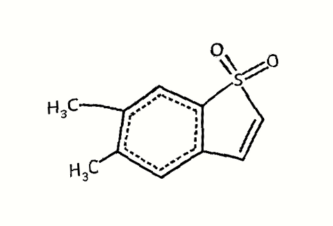 Cc1cc2c(cc1C)S(=O)(=O)C=C2